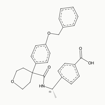 C[C@H](NC(=O)C1(c2ccc(OCc3ccccc3)cc2)CCOCC1)c1ccc(C(=O)O)cc1